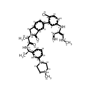 CN/C=C(\N=N)Nc1cc(-c2ccc3c(c2)C(=O)N([C@H](C)C(=O)N[C@H](C)c2cccc(N4CCN(C)CC4)n2)C3)c(Cl)cn1